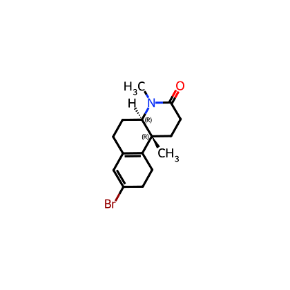 CN1C(=O)CC[C@]2(C)C3=C(C=C(Br)CC3)CC[C@@H]12